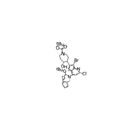 CC(C)(C)OC(=O)N1CCC(O)C(c2sc3c(N(Cc4cccs4)C(=O)OC(C)(C)C)cc(Cl)nc3c2Br)CC1